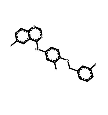 Fc1cccc(COc2ccc(Nc3ncnc4ccc(I)cc34)cc2F)c1